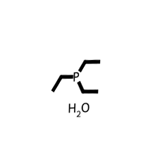 CCP(CC)CC.O